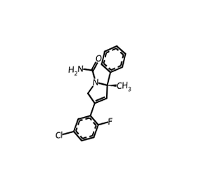 C[C@@]1(c2ccccc2)C=C(c2cc(Cl)ccc2F)CN1C(N)=O